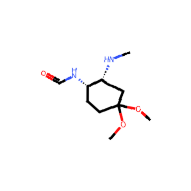 CN[C@@H]1CC(OC)(OC)CC[C@@H]1NC=O